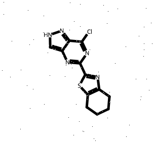 Clc1nc(-c2nc3c(s2)CCCC3)nc2c[nH]nc12